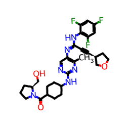 Cc1nc(NC2CCC(C(=O)N3CCC[C@H]3CO)CC2)ncc1/N=C(\C#C[C@H]1CCOC1)Nc1c(F)cc(F)cc1F